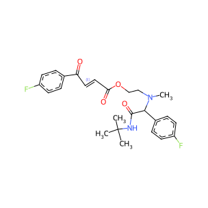 CN(CCOC(=O)/C=C/C(=O)c1ccc(F)cc1)C(C(=O)NC(C)(C)C)c1ccc(F)cc1